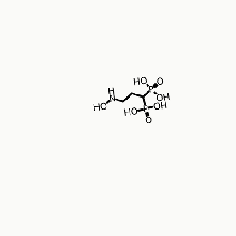 O=P(O)(O)C(CCNO)P(=O)(O)O